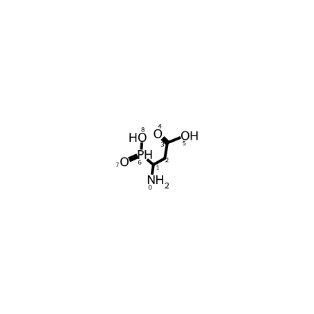 NC(CC(=O)O)[PH](=O)O